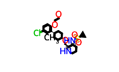 Cc1c(Cl)ccc(OCC=O)c1[C@H]1CC[C@@H](OC[C@@H]2NCCC[C@@H]2NS(=O)(=O)C2CC2)CC1